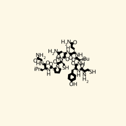 CC[C@H](C)[C@H](NC(=O)[C@H](Cc1ccc(O)cc1)NC(=O)[C@@H](N)CS)C(=O)N[C@@H](CCC(N)=O)C(=O)N[C@@H](CC(N)=O)C(=O)N[C@@H](CS)C(=O)N1CCC[C@H]1C(=O)N[C@@H](CC(C)C)C(=O)NCC(N)=O